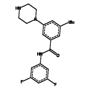 CC(C)(C)c1cc(C(=O)Nc2cc(F)cc(F)c2)cc(N2CCNCC2)c1